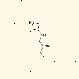 C=C(CC)CNC1CNC1